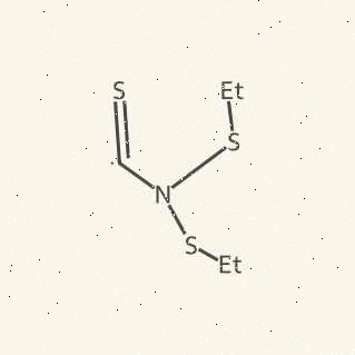 CCSN([C]=S)SCC